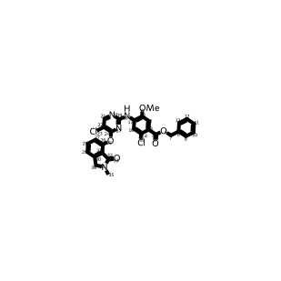 COc1cc(C(=O)OCc2ccccc2)c(Cl)cc1Nc1ncc(Cl)c(Oc2cccc3c2C(=O)N(C)C3)n1